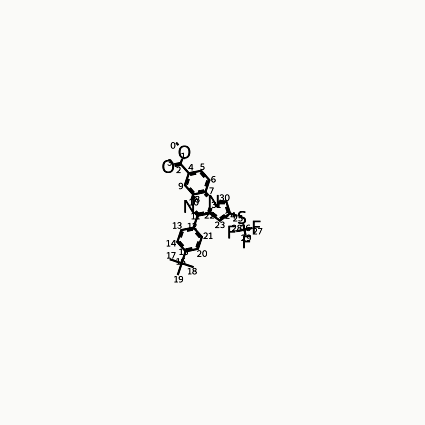 COC(=O)c1ccc2c(c1)nc(-c1ccc(C(C)(C)C)cc1)c1cc(SC(F)(F)F)cn12